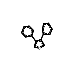 [c]1ccc(-c2cocc2-c2ccccc2)cc1